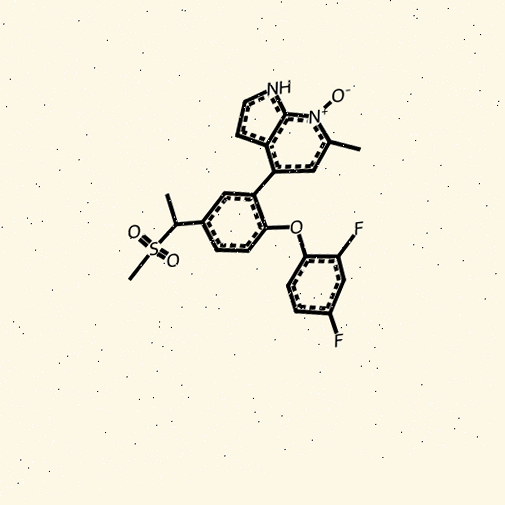 Cc1cc(-c2cc(C(C)S(C)(=O)=O)ccc2Oc2ccc(F)cc2F)c2cc[nH]c2[n+]1[O-]